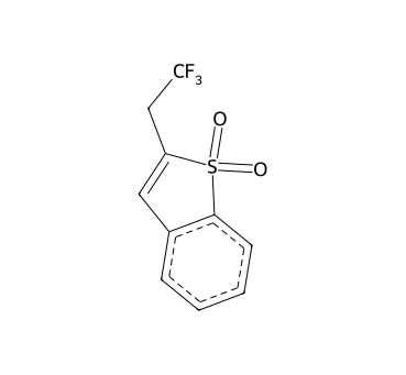 O=S1(=O)C(CC(F)(F)F)=Cc2ccccc21